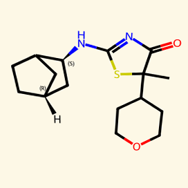 CC1(C2CCOCC2)SC(N[C@H]2C[C@@H]3CCC2C3)=NC1=O